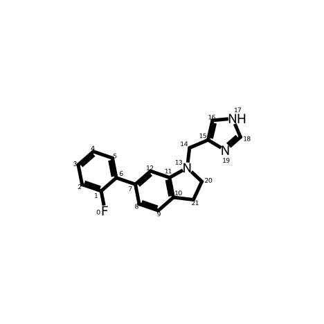 Fc1ccccc1-c1ccc2c(c1)N(Cc1c[nH]cn1)CC2